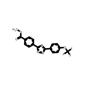 COC(=O)c1ccc(-c2nc(-c3ccc(OC(F)(F)F)cc3)no2)cc1